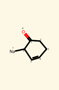 O=C1CCC=C[CH]1[Na]